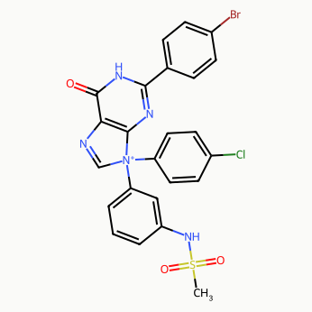 CS(=O)(=O)Nc1cccc([N+]2(c3ccc(Cl)cc3)C=Nc3c2nc(-c2ccc(Br)cc2)[nH]c3=O)c1